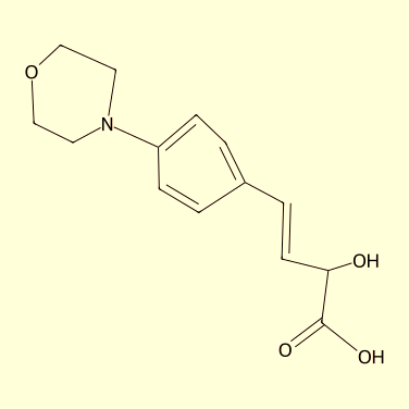 O=C(O)C(O)/C=C/c1ccc(N2CCOCC2)cc1